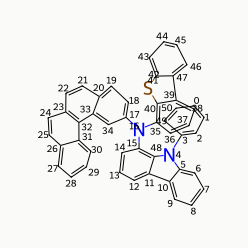 c1ccc(-n2c3ccccc3c3cccc(N(c4ccc5ccc6ccc7ccccc7c6c5c4)c4cccc5c4sc4ccccc45)c32)cc1